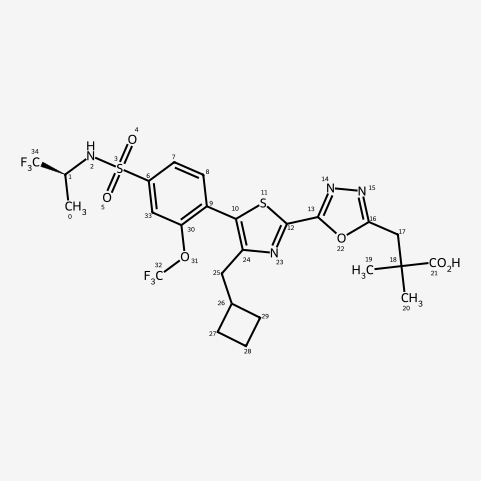 C[C@H](NS(=O)(=O)c1ccc(-c2sc(-c3nnc(CC(C)(C)C(=O)O)o3)nc2CC2CCC2)c(OC(F)(F)F)c1)C(F)(F)F